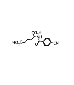 N#Cc1ccc(C(=O)NC(CCCC(=O)O)C(=O)O)cc1